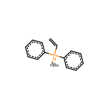 C=C[PH](CCCC)(c1ccccc1)c1ccccc1